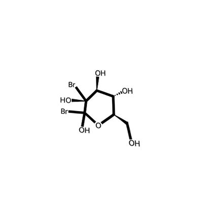 OC[C@H]1OC(O)(Br)[C@](O)(Br)[C@@H](O)[C@@H]1O